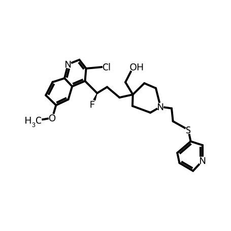 COc1ccc2ncc(Cl)c([C@H](F)CCC3(CO)CCN(CCSc4cccnc4)CC3)c2c1